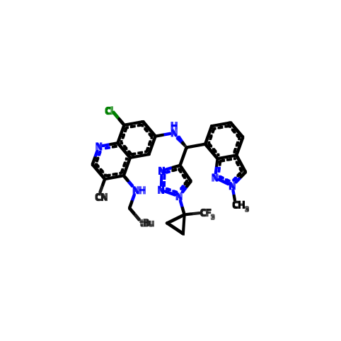 Cn1cc2cccc([C@H](Nc3cc(Cl)c4ncc(C#N)c(NCC(C)(C)C)c4c3)c3cn(C4(C(F)(F)F)CC4)nn3)c2n1